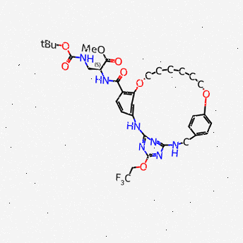 COC(=O)[C@H](CNC(=O)OC(C)(C)C)NC(=O)c1ccc2cc1OCCCCCCOc1ccc(cc1)CNc1nc(nc(OCC(F)(F)F)n1)N2